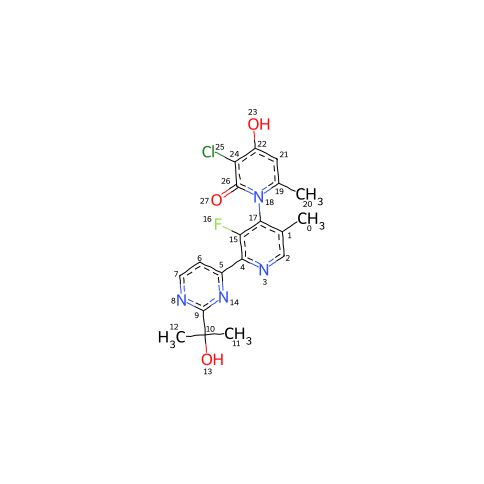 Cc1cnc(-c2ccnc(C(C)(C)O)n2)c(F)c1-n1c(C)cc(O)c(Cl)c1=O